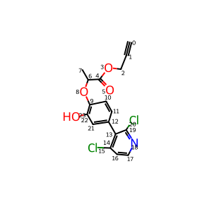 C#CCOC(=O)C(C)Oc1ccc(-c2c(Cl)ccnc2Cl)cc1O